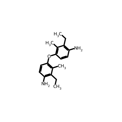 CCc1c(N)ccc(Oc2ccc(N)c(CC)c2C)c1C